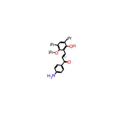 CC(C)Oc1c(C(C)C)cc(C(C)C)c(O)c1/C=C/C(=O)c1ccc(N)cc1